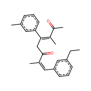 CCc1cccc(C=C(C)C(=O)CC(=C(C)C(C)=O)c2cccc(C)c2)c1